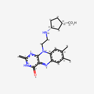 C=c1nc2c(c(=O)[nH]1)=Nc1cc(C)c(C)cc1N2CCN[C@@H]1CC[C@H](C(=O)O)C1